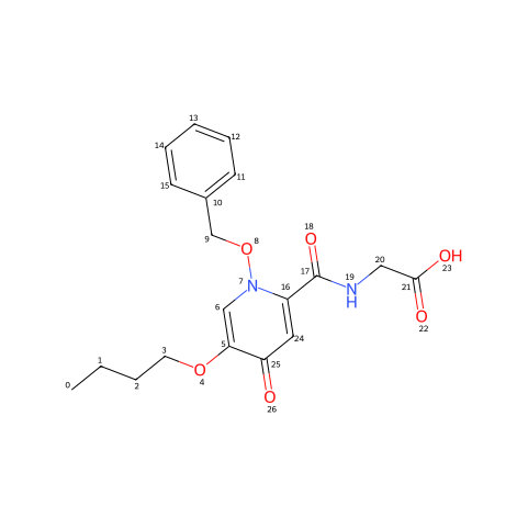 CCCCOc1cn(OCc2ccccc2)c(C(=O)NCC(=O)O)cc1=O